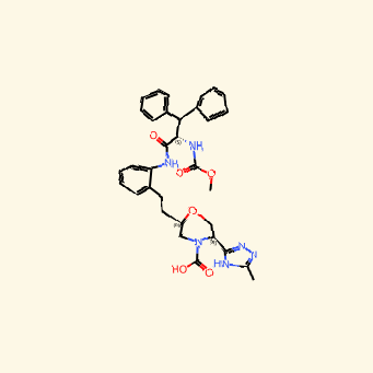 COC(=O)N[C@H](C(=O)Nc1ccccc1CC[C@@H]1CN(C(=O)O)[C@H](c2nnc(C)[nH]2)CO1)C(c1ccccc1)c1ccccc1